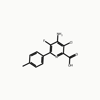 Cc1ccc(-c2nc(C(=O)O)c(Cl)c(N)c2F)cc1